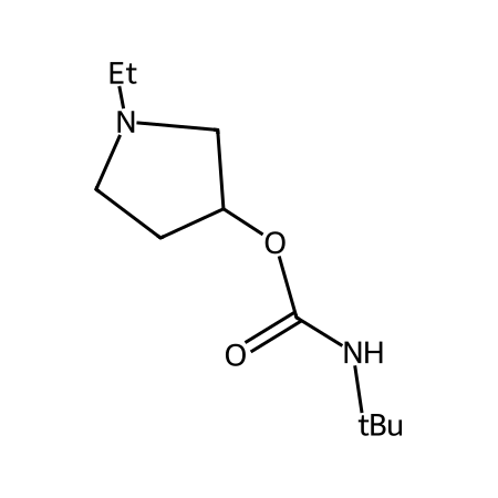 CCN1CCC(OC(=O)NC(C)(C)C)C1